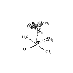 CCCCCCCCCCc1c(CCCCCCCCCC)c(CCCCCCCCCC)[n+](CCCCCCCCCC)c(CCCCCCCCCC)c1CCCCCCCCCC.CCN1CCN(C(=O)N[C@@H](C(=O)N[C@@H]2C(=O)N3[C@@H]2SC(C)(C)[C@@H]3C(=O)O)c2ccccc2)C(=O)C1=O